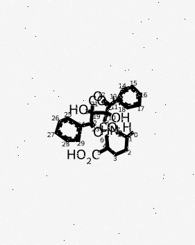 CC1CCC(C(=O)O)CN1.O=C(O)C(O)(C(=O)c1ccccc1)C(O)(C(=O)O)C(=O)c1ccccc1